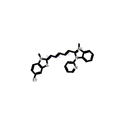 CCc1ccc2c(c1)S\C(=C/C=C/C=C/c1n(-c3ccccn3)c3ccccc3[n+]1C)N2C